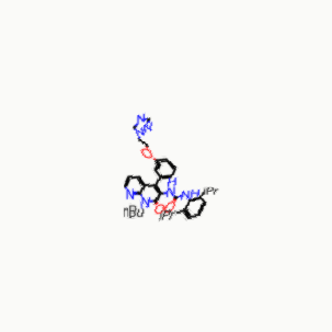 CCCCn1c(=O)c(NC(=O)Nc2c(C(C)C)cccc2C(C)C)c(-c2cccc(OCCn3cncn3)c2)c2cccnc21